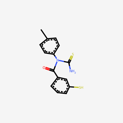 Cc1ccc(N(C(=O)c2cccc(S)c2)C(N)=S)cc1